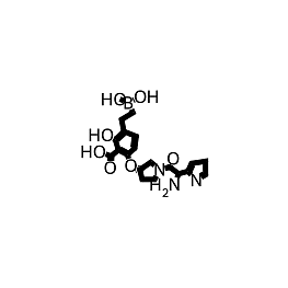 NC(C(=O)N1CC[C@H](Oc2ccc(CCB(O)O)c(O)c2C(=O)O)C1)C1=CCC=N1